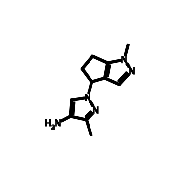 Cc1nn(C2CCc3c2cnn3C)cc1N